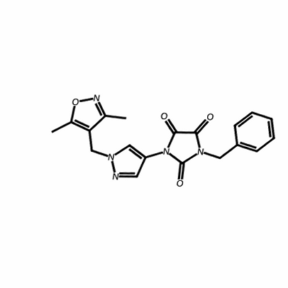 Cc1noc(C)c1Cn1cc(N2C(=O)C(=O)N(Cc3ccccc3)C2=O)cn1